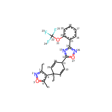 Cc1noc(C)c1C1(C)C=CC(c2nc(-c3ccccc3OC(F)(F)F)no2)C=C1